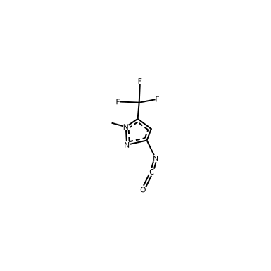 Cn1nc(N=C=O)cc1C(F)(F)F